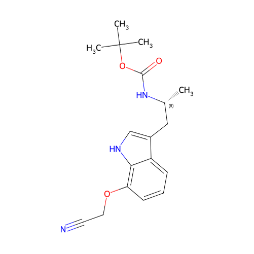 C[C@H](Cc1c[nH]c2c(OCC#N)cccc12)NC(=O)OC(C)(C)C